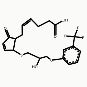 O=C(O)CC/C=C\CC1C(=O)C=CC1SCC(O)COc1cccc(C(F)(F)F)c1